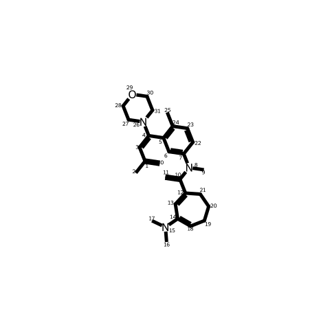 C=C(C)/C=C(\c1cc(N(C)C(=C)C2=CC(N(C)C)=CCCC2)ccc1C)N1CCOCC1